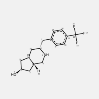 O[C@@H]1C[C@H]2CN[C@@H](Cc3ccc(C(F)(F)F)cc3)CN2C1